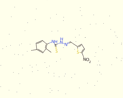 Cc1ccc(NC(=S)NN=Cc2ccc([N+](=O)[O-])s2)c(C)c1